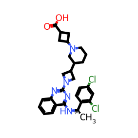 C[C@@H](Nc1nc(N2CC(C3CCCN(C4CC(C(=O)O)C4)C3)C2)nc2ccccc12)c1ccc(Cl)cc1Cl